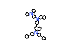 c1ccc(-c2ccc(N(c3ccc(-c4ccccc4)cc3)c3ccc(-c4ccc(N(c5ccc6ccccc6c5)c5ccc6c(c5)c5ccccc5n6-c5ccccc5)cc4)c4ccccc34)cc2)cc1